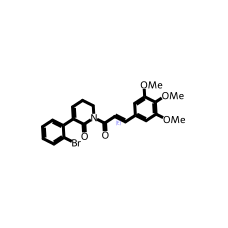 COc1cc(/C=C/C(=O)N2CCC=C(c3ccccc3Br)C2=O)cc(OC)c1OC